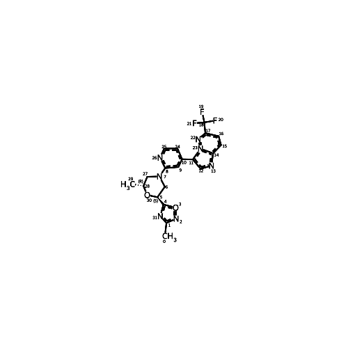 Cc1noc([C@@H]2CN(c3cc(-c4cnc5ccc(C(F)(F)F)nn45)ccn3)C[C@@H](C)O2)n1